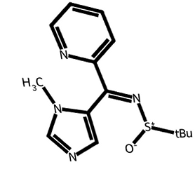 Cn1cncc1C(=N[S+]([O-])C(C)(C)C)c1ccccn1